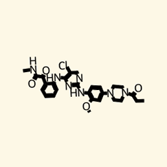 CCC(=O)N1CCN(c2ccc(Nc3ncc(Cl)c(Nc4ccccc4C(=O)C(=O)NC)n3)c(OC)c2)CC1